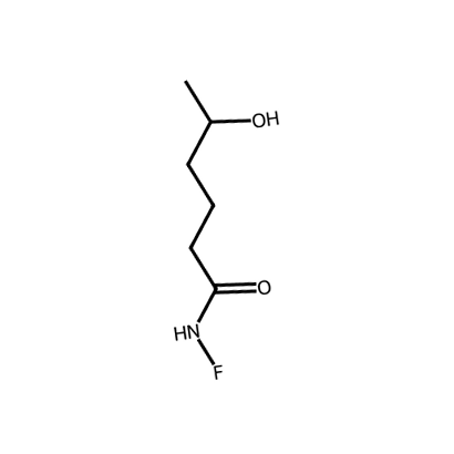 CC(O)CCCC(=O)NF